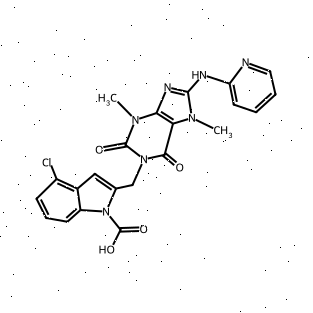 Cn1c(Nc2ccccn2)nc2c1c(=O)n(Cc1cc3c(Cl)cccc3n1C(=O)O)c(=O)n2C